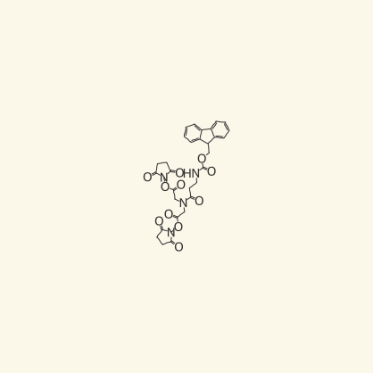 O=C(CN(CC(=O)ON1C(=O)CCC1=O)C(=O)CCNC(=O)OCC1c2ccccc2-c2ccccc21)ON1C(=O)CCC1=O